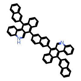 C1=CC2=c3c(-c4ccc5ccccc5c4)c4ccccc4c(-c4ccc5cc(-c6c7ccccc7c(-c7ccc8ccccc8c7)c7c6cnc6ccccc67)ccc5c4)c3=CNC2C=C1